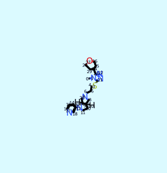 Cn1c(SCCCN2C[C@@H]3CCN(c4cccnc4)[C@@H]3C2)nnc1C1CCOCC1